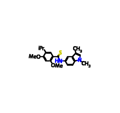 COc1cc(OC)c(C(C)C)cc1C(=S)Nc1ccc2c(c1)c(C)cn2C